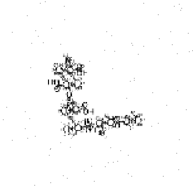 CC1CCCCN1c1ccc(C(=O)O)cc1C#N.CC1CCCCN1c1ccc(C(=O)O)cc1C(F)(F)F.COCc1cc(C(=O)O)ccc1-c1ccccc1C.COCc1cc(C(=O)O)ccc1N1CCCCC1C.Cc1cc(C(=O)O)cnc1N1CCCCC1C.Cc1ccccc1-c1ccc(C(=O)O)cc1CN(C)C